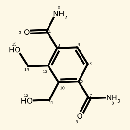 NC(=O)c1ccc(C(N)=O)c(CO)c1CO